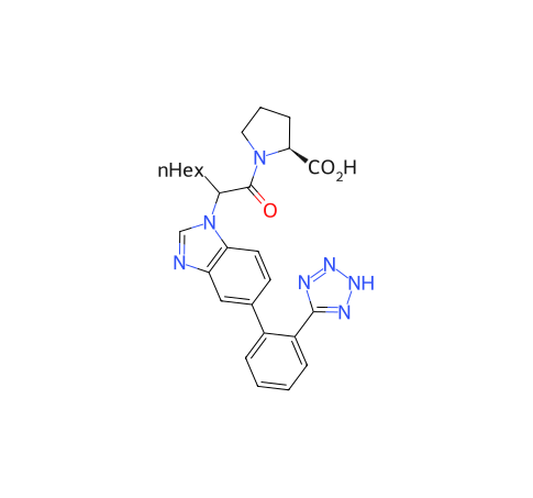 CCCCCCC(C(=O)N1CCC[C@H]1C(=O)O)n1cnc2cc(-c3ccccc3-c3nn[nH]n3)ccc21